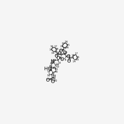 C[C@]12CC[C@H](OC3OC[C@H](OC(=O)c4ccccc4)[C@@H](OC(=O)c4ccccc4)[C@@H]3OC(=O)c3ccccc3)C[C@H]1CCC1C2CC[C@]2(C)[C@@H](C3=CCOC3=O)CC[C@]12O